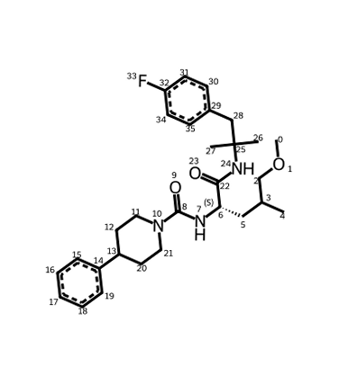 COCC(C)C[C@H](NC(=O)N1CCC(c2ccccc2)CC1)C(=O)NC(C)(C)Cc1ccc(F)cc1